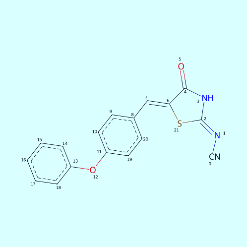 N#CN=C1NC(=O)C(=Cc2ccc(Oc3ccccc3)cc2)S1